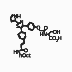 CCCCCCCCNC(=O)C=Cc1ccc(-c2sc(-c3ccc[nH]3)nc2-c2ccc(OCC(=O)NC(CO)C(=O)O)cc2)cc1